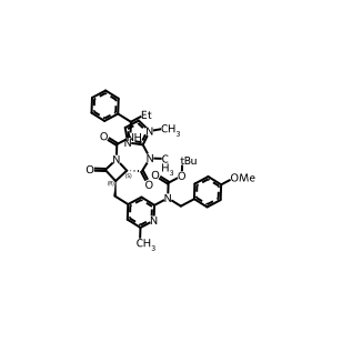 CCC(NC(=O)N1C(=O)[C@H](Cc2cc(C)nc(N(Cc3ccc(OC)cc3)C(=O)OC(C)(C)C)c2)[C@H]1C(=O)N(C)c1nccn1C)c1ccccc1